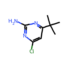 CC(C)(C)c1cc(Cl)nc(N)n1